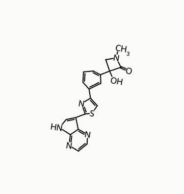 CN1CC(O)(c2cccc(-c3csc(-c4c[nH]c5nccnc45)n3)c2)C1=O